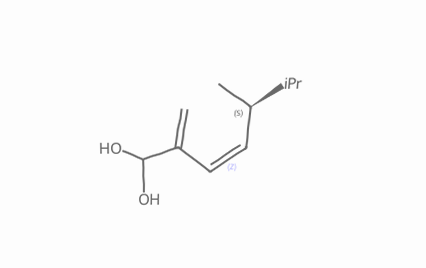 C=C(/C=C\[C@@H](C)C(C)C)C(O)O